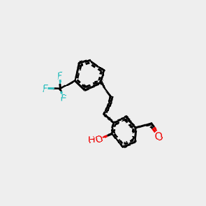 O=Cc1ccc(O)c(/C=C/c2cccc(C(F)(F)F)c2)c1